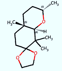 C[C@H]1CC[C@@]2(C)CCC3(OCCO3)C(C)(C)[C@@H]2O1